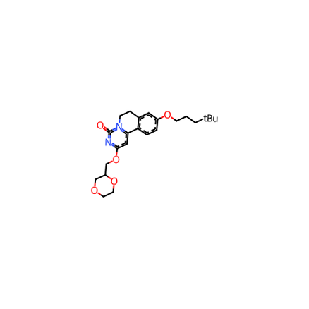 CC(C)(C)CCCOc1ccc2c(c1)CCn1c-2cc(OCC2COCCO2)nc1=O